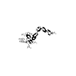 Cc1nc(C)c([C@H](OC(C)(C)C)C(=O)O)c(N2CCC(C)(C)CC2)c1-c1ccc2c(c1)CCN(c1cc(N3CCC(N4CCN(C)CC4)CC3)ncn1)C2